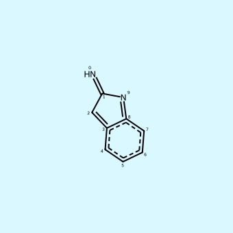 N=C1C=c2ccccc2=N1